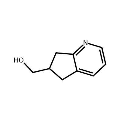 OCC1Cc2cccnc2C1